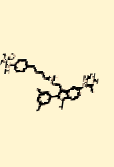 Cc1cc(C)cc(-c2[nH]c3ccc(-n4nnnc4C)cc3c2CCNCCCCc2ccc(NS(C)(=O)=O)cc2)c1